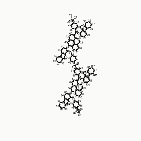 CC(C)(c1ccc(N(c2ccc3ccc4c(N(c5ccc([Si](C)(C)C)cc5)c5cccc6c5oc5ccccc56)ccc5ccc2c3c54)c2cccc3c2oc2ccccc23)cc1)c1ccc(N(c2ccc3ccc4c(N(c5ccc([Si](C)(C)C)cc5)c5cccc6c5oc5ccccc56)ccc5ccc2c3c54)c2cccc3c2oc2ccccc23)cc1